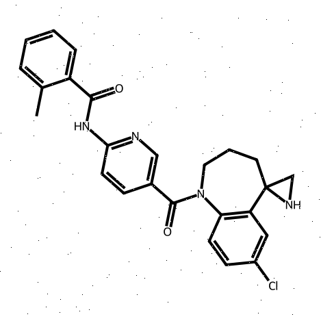 Cc1ccccc1C(=O)Nc1ccc(C(=O)N2CCCC3(CN3)c3cc(Cl)ccc32)cn1